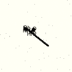 CCC=CCC=CCC=CCC=CCC=CCC=CCCC(=O)NCCN(CCNC(=O)c1c[n+]([O-])c(C)cn1)CCN1CCOCC1